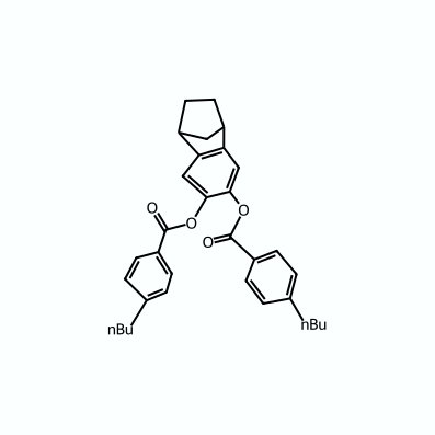 CCCCc1ccc(C(=O)Oc2cc3c(cc2OC(=O)c2ccc(CCCC)cc2)C2CCC3C2)cc1